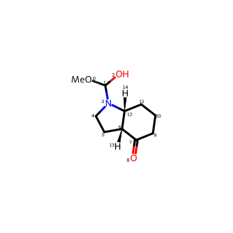 COC(O)N1CC[C@H]2C(=O)CCC[C@H]21